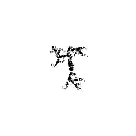 COCC(O)COCC(COCC(O)COc1ccc(S(=O)(=O)c2ccc(OCC(CO)OCC(COCC(CO)OCC(O)COCC(COC)OCC(O)COC)OCC(O)COCC(COCC(COC)OCC(O)COC)OCC(O)COC)cc2)cc1)OCC(COCC(O)COC)OCC(O)COC